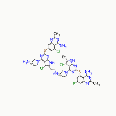 CCc1[nH]c2nc(Sc3cc(F)cc4nc(C)nc(N)c34)nc(N3CC[C@H](NCCc4[nH]c5nc(Sc6cc(Cl)c7c(N)nc(C)nc7c6)nc(N6CC[C@H](N)C6)c5c4Cl)C3)c2c1Cl